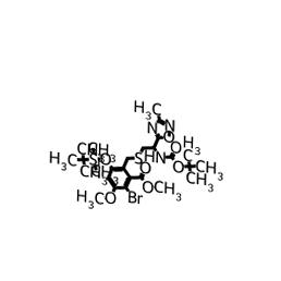 COC(=O)c1c(Br)c(OC)cc(O[Si](C)(C)C(C)(C)C)c1CSCC(NC(=O)OC(C)(C)C)c1nc(C)no1